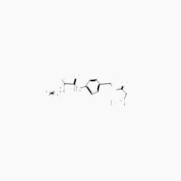 CC(N=[N+]=[N-])C(=O)Nc1ccc(COC(=O)[C@H](C)N)cc1